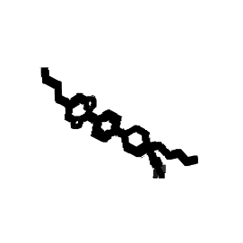 CCCCCC1(C#N)CCC(c2ccc(C3OCC(CCCC)CO3)cc2)CC1